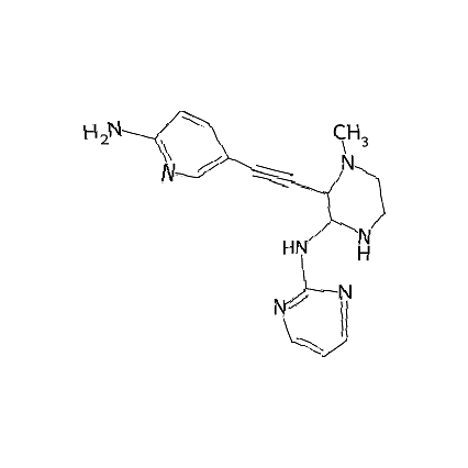 CN1CCNC(Nc2ncccn2)C1C#Cc1ccc(N)nc1